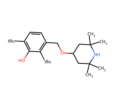 CC1(C)CC(OCc2ccc(C(C)(C)C)c(O)c2C(C)(C)C)CC(C)(C)N1